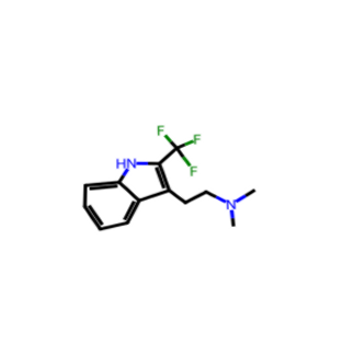 CN(C)CCc1c(C(F)(F)F)[nH]c2ccccc12